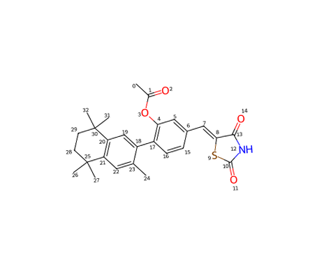 CC(=O)Oc1cc(/C=C2\SC(=O)NC2=O)ccc1-c1cc2c(cc1C)C(C)(C)CCC2(C)C